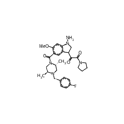 COc1cc2c(cc1C(=O)N1C[C@H](C)N(Cc3ccc(F)cc3)C[C@H]1C)C(C(=O)C(=O)N1CCCC1)CN2N